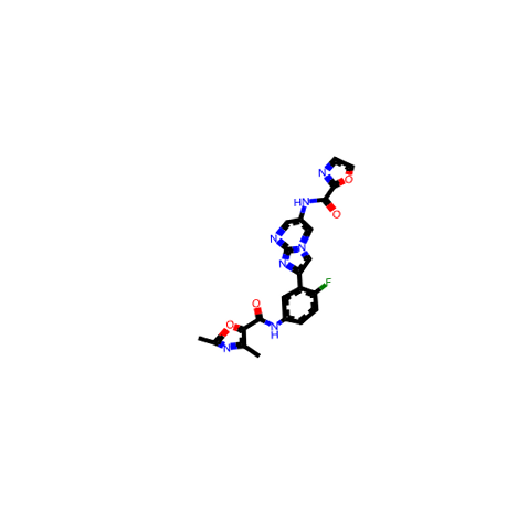 Cc1nc(C)c(C(=O)Nc2ccc(F)c(-c3cn4cc(NC(=O)c5ncco5)cnc4n3)c2)o1